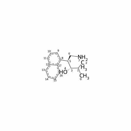 CC(C)[C@H](O)[C@H](CN)c1cccc2ccccc12